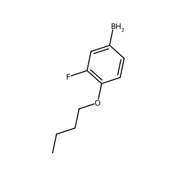 Bc1ccc(OCCCC)c(F)c1